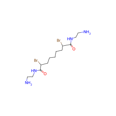 NCCNC(=O)C(Br)CCCCCC(Br)C(=O)NCCN